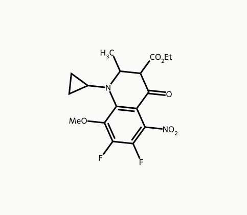 CCOC(=O)C1C(=O)c2c(c(OC)c(F)c(F)c2[N+](=O)[O-])N(C2CC2)C1C